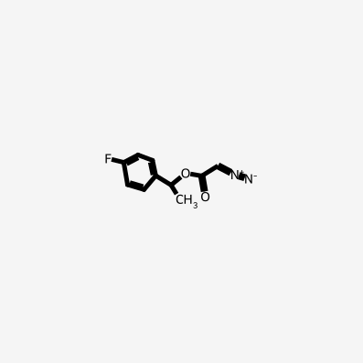 CC(OC(=O)C=[N+]=[N-])c1ccc(F)cc1